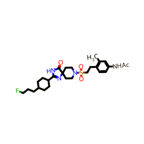 CC(=O)Nc1ccc(CCS(=O)(=O)N2CCC3(CC2)N=C(C2CCC(CCCF)CC2)NC3=O)c(C)c1